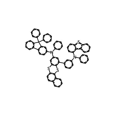 c1ccc(N(c2cc3c(c(-c4cccc(N(c5ccccc5)c5cccc6sc7ccccc7c56)c4)c2)Sc2c(ccc4ccccc24)S3)c2ccc3c(c2)C(c2ccccc2)(c2ccccc2)c2ccccc2-3)cc1